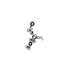 C[C@@H]1CN(S(=O)(=O)c2ccc([N+](=O)[O-])cc2)C[C@H](C2CN(C(=O)OCc3ccccc3)C2)O1